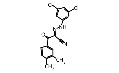 Cc1ccc(C(=O)/C(C#N)=N/Nc2cc(Cl)cc(Cl)c2)cc1C